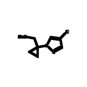 COCC1(n2cc(Cl)cn2)CC1